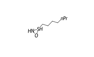 CCCCCCC[SH]1NO1